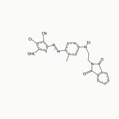 CCN(CCN1C(=O)c2ccccc2C1=O)c1ccc(/N=N/c2sc(C=O)c(Cl)c2C#N)c(C)c1